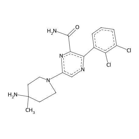 CC1(N)CCN(c2cnc(-c3cccc(Cl)c3Cl)c(C(N)=O)n2)CC1